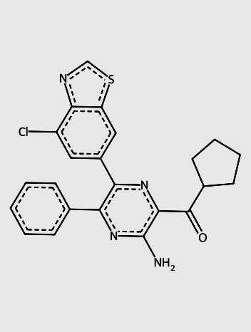 Nc1nc(-c2ccccc2)c(-c2cc(Cl)c3ncsc3c2)nc1C(=O)C1CCCC1